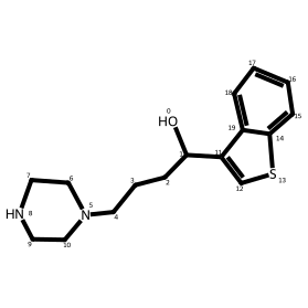 OC(CCCN1CCNCC1)c1csc2ccccc12